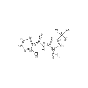 Cn1nc(C(F)(F)F)cc1NC(=O)c1ccccc1Cl